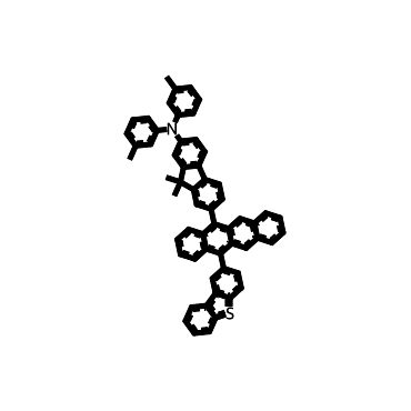 Cc1cccc(N(c2cccc(C)c2)c2ccc3c(c2)C(C)(C)c2cc(-c4c5ccccc5c(-c5ccc6sc7ccccc7c6c5)c5cc6ccccc6cc45)ccc2-3)c1